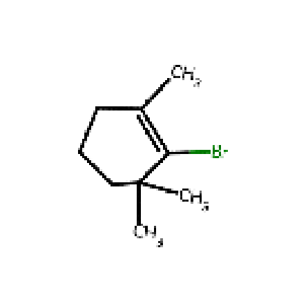 CC1=C(Br)C(C)(C)CCC1